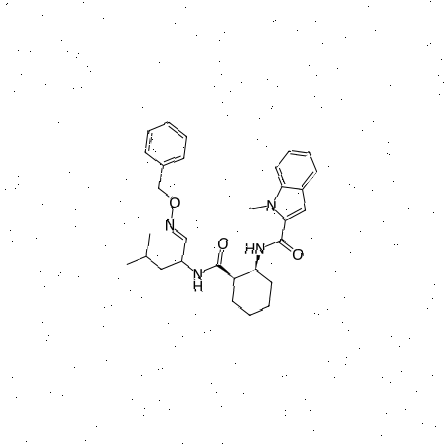 CC(C)CC(C=NOCc1ccccc1)NC(=O)[C@@H]1CCCC[C@@H]1NC(=O)c1cc2ccccc2n1C